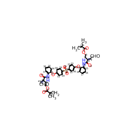 C=C(C)C(=O)OCC/C(=C\C=O)C(=O)Nc1ccccc1Oc1ccc(S(=O)(=O)c2ccc(Oc3ccccc3NC(=O)/C(=C/C=O)CCOC(=O)C(=C)C)cc2)cc1